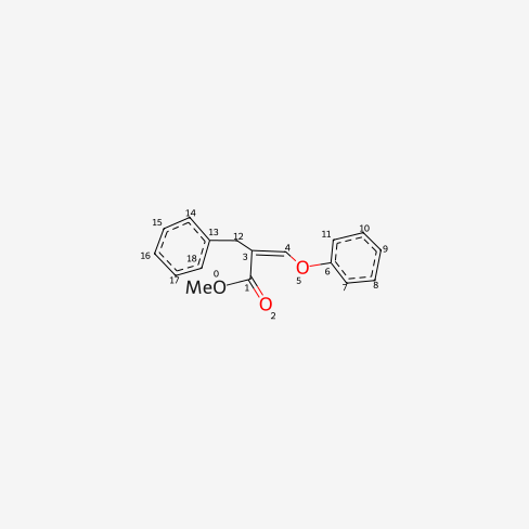 COC(=O)C(=COc1ccccc1)Cc1ccccc1